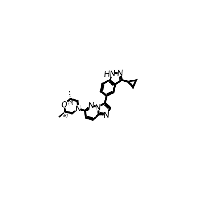 C[C@@H]1CN(c2ccc3ncc(-c4ccc5[nH]nc(C6CC6)c5c4)n3n2)C[C@@H](C)O1